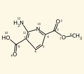 COC(=O)c1ccc(C(=O)O)c(N)n1